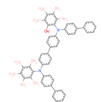 Bc1c(B)c(B)c(N(c2ccc(-c3ccccc3)cc2)c2ccc(-c3ccc(N(c4ccc(-c5ccccc5)cc4)c4c(B)c(B)c(B)c(B)c4O)cc3)cc2)c(B)c1B